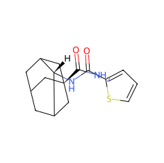 NC(=O)[C@]12CC3CC(C1)[C@@H](NC(=O)c1cccs1)C(C3)C2